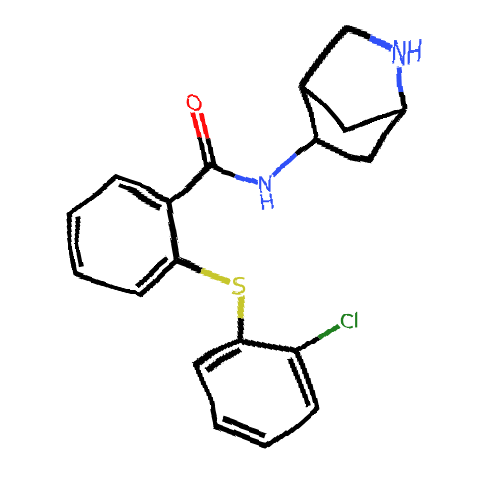 O=C(NC1CC2CC1CN2)c1ccccc1Sc1ccccc1Cl